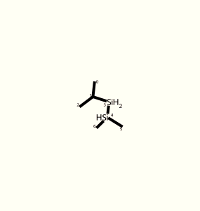 CC(C)[SiH2][SiH](C)C